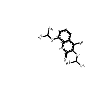 CC(C)Oc1c(O)c2cccc(OC(C)C)c2oc1=O